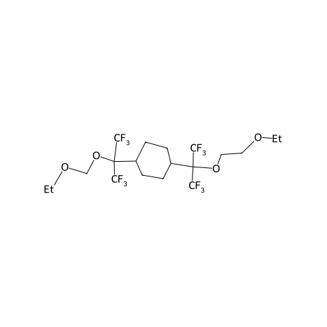 CCOCCOC(C1CCC(C(OCOCC)(C(F)(F)F)C(F)(F)F)CC1)(C(F)(F)F)C(F)(F)F